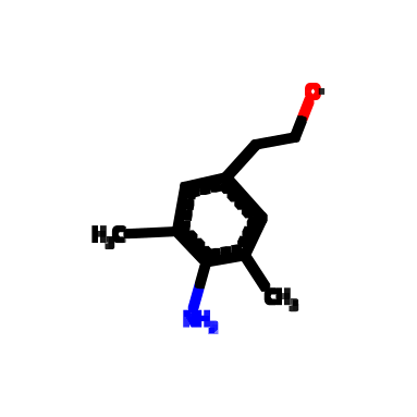 Cc1cc(CC[O])cc(C)c1N